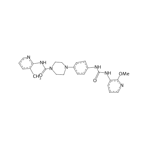 COc1ncccc1NC(=O)Nc1ccc(N2CCN(C(=O)Nc3ncccc3C)CC2)cc1